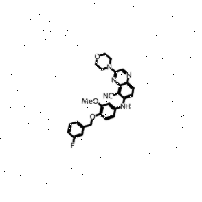 COc1cc(Nc2ccc3ncc(N4CCOCC4)nc3c2C#N)ccc1OCc1cccc(F)c1